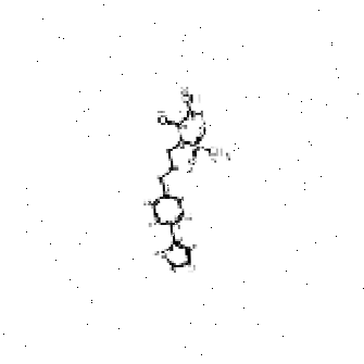 CS(=O)(=O)C(CCCc1ccc(-c2cccs2)cc1)C(=O)NO